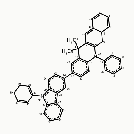 CC1(C)C2=C(CC3C=CC=CC3=C2)N(c2ccccc2)c2ccc(-c3ccc4c(c3)c3ccccc3n4C3=CCCC=C3)cc21